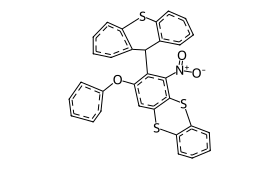 O=[N+]([O-])c1c2c(cc(Oc3ccccc3)c1C1c3ccccc3Sc3ccccc31)Sc1ccccc1S2